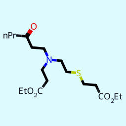 CCCC(=O)CCN(CCSCCC(=O)OCC)CCC(=O)OCC